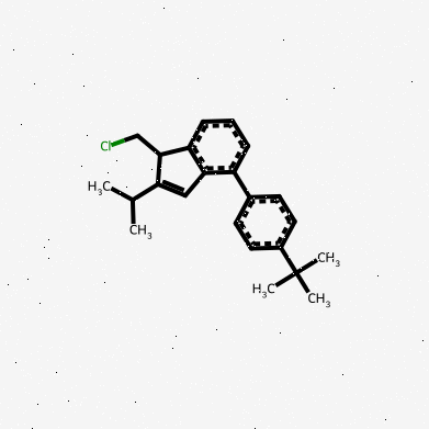 CC(C)C1=Cc2c(-c3ccc(C(C)(C)C)cc3)cccc2C1CCl